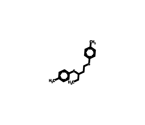 CCC(CCSc1ccc(C)cc1)Sc1ccc(C)cc1